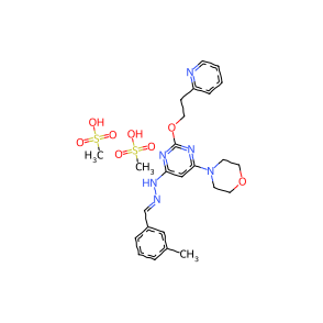 CS(=O)(=O)O.CS(=O)(=O)O.Cc1cccc(C=NNc2cc(N3CCOCC3)nc(OCCc3ccccn3)n2)c1